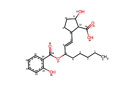 CCCCCC(C=CC1CCC(O)C1C(=O)O)OC(=O)c1ccccc1O